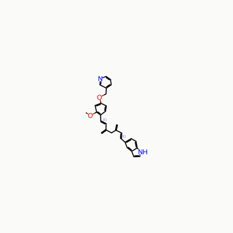 C=C(/C=C/c1ccc2[nH]ccc2c1)CC(=C)/C=C/c1ccc(OCc2cccnc2)cc1OC